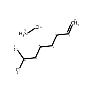 C=CCCCCC(Cl)Cl.[SiH3]Cl